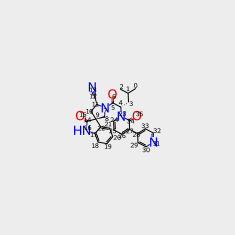 CC(C)C[C@@H](C(=O)N1C[C@]2(C[C@H]1C#N)C(=O)Nc1ccccc12)n1cccc(-c2ccncc2)c1=O